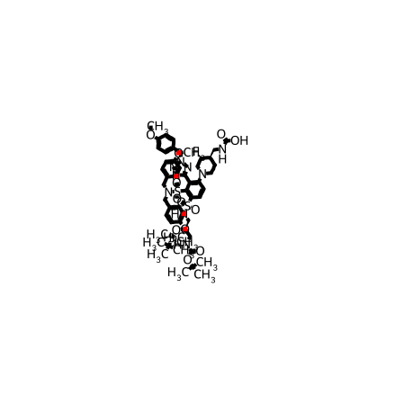 COc1ccc(CN(Cc2ccc(OC)cc2)S(=O)(=O)c2c(S(=O)(=O)NC[C@@H](CNC(=O)OC(C)(C)C)O[Si](C)(C)C(C)(C)C)ccc(N3CC[C@H](CNC(=O)O)[C@@H](F)C3)c2-c2nnn(Cc3ccc(OC)cc3)n2)cc1